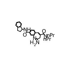 CCCN(CCC)C(=O)C1=Cc2ccc(C(=O)NC3CCc4ccccc43)cc2N=C(N)C1